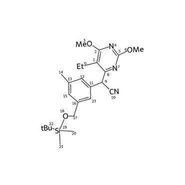 CCc1c(OC)nc(OC)nc1C(C#N)c1cc(C)cc(CO[Si](C)(C)C(C)(C)C)c1